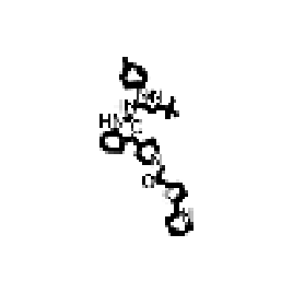 Cc1ccc(-n2nc(C(C)(C)C)cc2NC(=O)Nc2ccccc2CC2CCN(CC(=O)c3ccc(-c4ccccn4)s3)CC2)cc1